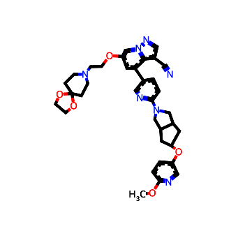 COc1ccc(OC2CC3CN(c4ccc(-c5cc(OCCN6CCC7(CC6)OCCO7)cn6ncc(C#N)c56)cn4)CC3C2)cn1